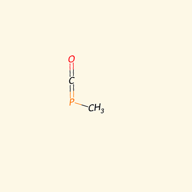 CP=C=O